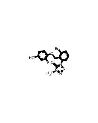 Cn1nnn(-c2cccc(Br)c2COc2ccc(O)cc2F)c1=O